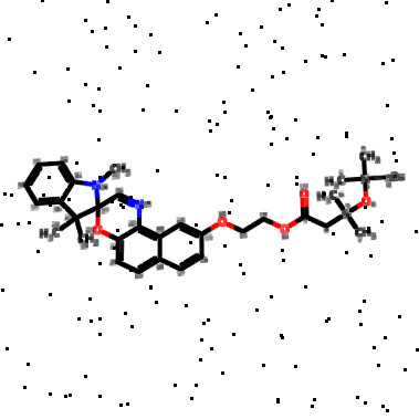 CCCC[Si](C)(C)O[Si](C)(C)CC(=O)OCCOc1ccc2ccc3c(c2c1)N=CC1(O3)N(C)c2ccccc2C1(C)C